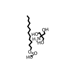 CCCCCCCCCCCCOS(=O)O.NC(CO)(CO)CO